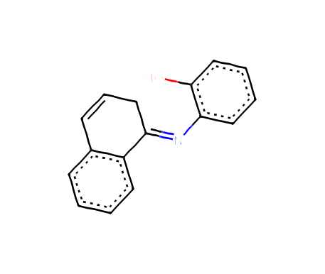 Oc1ccccc1N=C1CC=Cc2ccccc21